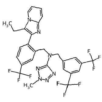 CCc1c(-c2ccc(C(F)(F)F)cc2CN(Cc2cc(C(F)(F)F)cc(C(F)(F)F)c2)c2nnn(C)n2)nc2ccccn12